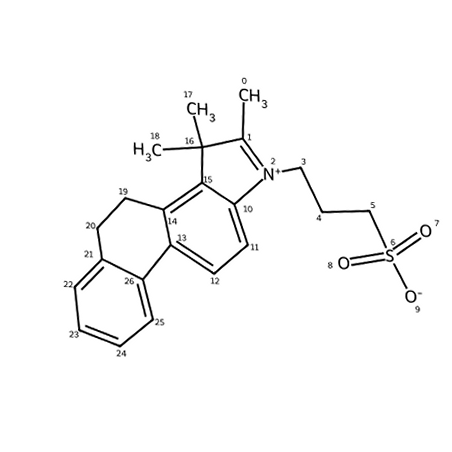 CC1=[N+](CCCS(=O)(=O)[O-])c2ccc3c(c2C1(C)C)CCc1ccccc1-3